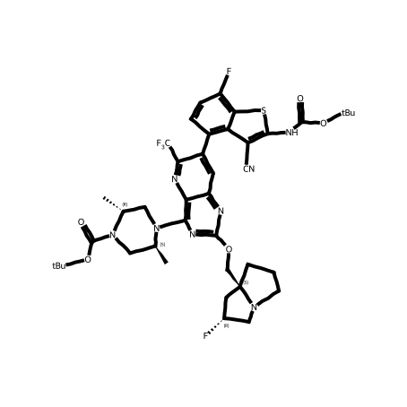 C[C@@H]1CN(c2nc(OC[C@@]34CCCN3C[C@H](F)C4)nc3cc(-c4ccc(F)c5sc(NC(=O)OC(C)(C)C)c(C#N)c45)c(C(F)(F)F)nc23)[C@@H](C)CN1C(=O)OC(C)(C)C